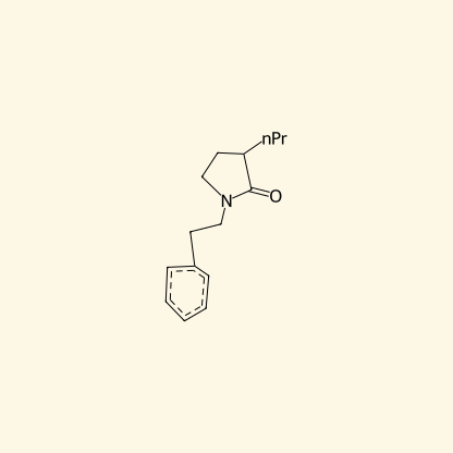 CCCC1CCN(CCc2ccccc2)C1=O